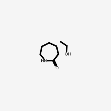 CCO.O=C1CCCCCN1